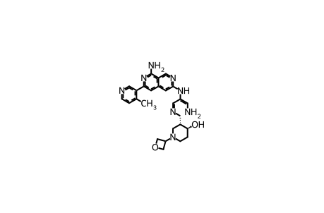 Cc1ccncc1-c1cc2cc(NC(/C=N\C[C@H]3CN(C4COC4)CC[C@@H]3O)=C/N)ncc2c(N)n1